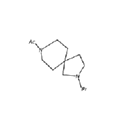 CC(=O)N1CCC2(CC1)CCN(C(C)C)C2